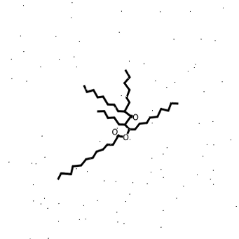 CCCCCCCCCCCC(=O)OC(CCCCCCCCC)C(CCCCC)C(=O)C(CCCCCC)CCCCCCCC